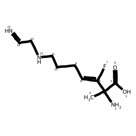 CC(N)(C(=O)O)/C(F)=C/CCCNCC=N